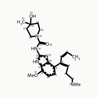 C/C=C\C(=C\CCNC)c1ccc(OC)c2[nH]c(NC(=O)N3CCC(C)(O)CC3)nc12